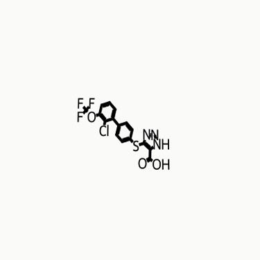 O=C(O)c1[nH]nnc1Sc1ccc(-c2cccc(OC(F)(F)F)c2Cl)cc1